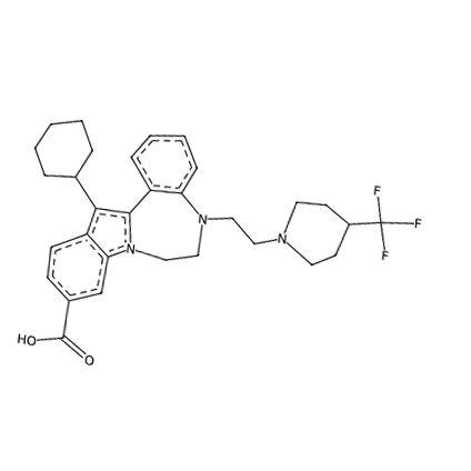 O=C(O)c1ccc2c(C3CCCCC3)c3n(c2c1)CCN(CCN1CCC(C(F)(F)F)CC1)c1ccccc1-3